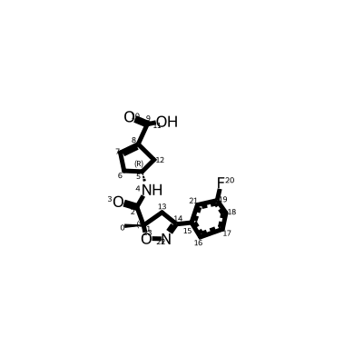 C[C@@]1(C(=O)N[C@@H]2CC=C(C(=O)O)C2)CC(c2cccc(F)c2)=NO1